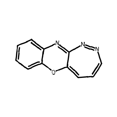 C1=CN=NC2=Nc3ccccc3OC2=C1